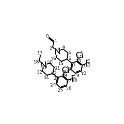 C=CCN1CCC(c2cccc(F)c2Cl)CC1.CCN1CCC(c2cccc(F)c2Cl)CC1